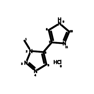 Cl.Cn1nncc1-c1c[nH]cn1